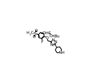 CC(C)(C)OC=O.CS(=O)(=O)c1ccc(OCc2nnn(C3CCNCC3)n2)c(F)c1